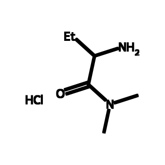 CCC(N)C(=O)N(C)C.Cl